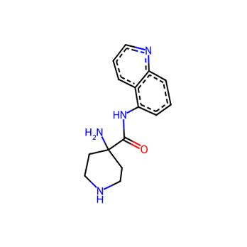 NC1(C(=O)Nc2cccc3ncccc23)CCNCC1